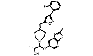 Cc1nc2cc(OC([C@@H](C)O)N3CCN(Cc4cc(-c5ccccc5F)no4)CC3)ccc2s1